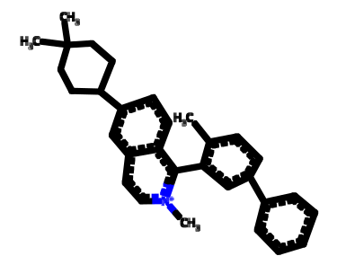 Cc1ccc(-c2ccccc2)cc1-c1c2ccc(C3CCC(C)(C)CC3)cc2cc[n+]1C